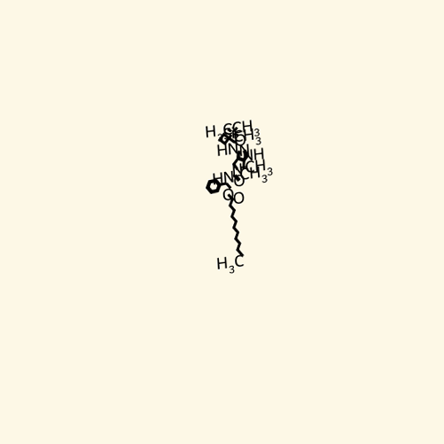 CCCCCCCCCCCC(=O)OCC(NC(=O)N1Cc2c(NC(=O)C3([Si](C)(C)C)CCC3)n[nH]c2C1(C)C)c1ccccc1